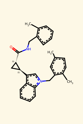 Cc1ccc(C)c(Cn2cc([C@H]3C[C@@H]3C(=O)NCc3ccccc3C)c3ccccc32)c1